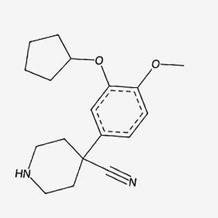 COc1ccc(C2(C#N)CCNCC2)cc1OC1CCCC1